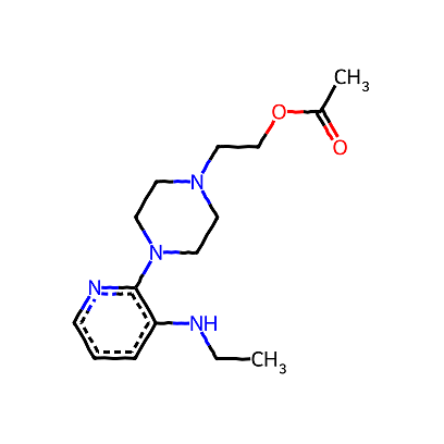 CCNc1cccnc1N1CCN(CCOC(C)=O)CC1